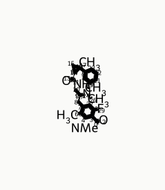 CNC(=O)c1cc(C)c(C[C@@H](CNC(=O)[C@@H]2C[C@]2(C)c2ccccc2)N(C)C)cc1F